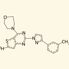 [2H]c1cc2nc(-n3ccc(-c4cccc(C)c4)n3)nc(N3CCOCC3)c2s1